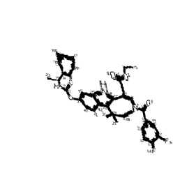 CCOC(=O)C1=CN(C(=O)c2ccc(F)c(F)c2)CC(C)(C)c2c1[nH]c1cc(OC(=O)N[C@@H](C)c3ccccc3)ccc21